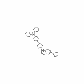 c1ccc(-c2ccc3c(ccn3-c3ccc(-c4ccc(N(c5ccccc5)c5ccccc5)cc4)cc3)c2)cc1